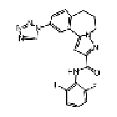 O=C(Nc1c(F)cccc1F)c1cc2n(n1)CCCc1ccc(-n3cnnn3)cc1-2